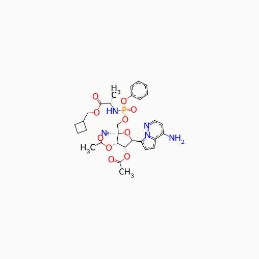 CC(=O)O[C@H]1[C@H](c2ccc3c(N)ccnn23)O[C@](C#N)(COP(=O)(N[C@@H](C)C(=O)OCC2CCC2)Oc2ccccc2)[C@H]1OC(C)=O